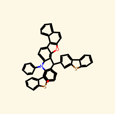 c1ccc(C(c2ccc3c(c2)sc2ccccc23)c2c(N(c3ccccc3)c3cccc4sc5ccccc5c34)ccc3c2oc2ccc4ccccc4c23)cc1